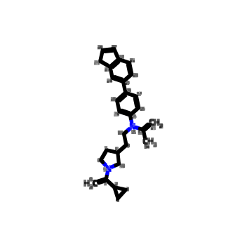 C=C(C1CC1)N1CCC(CCN(C(=C)C)c2ccc(-c3ccc4c(c3)CC=C4)cc2)C1